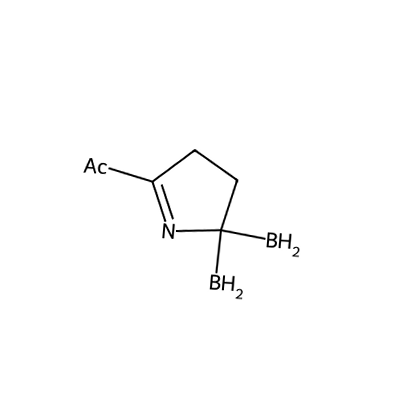 BC1(B)CCC(C(C)=O)=N1